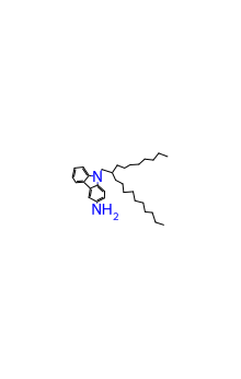 CCCCCCCCCCC(CCCCCCCC)Cn1c2ccccc2c2cc(N)ccc21